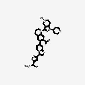 CC(=O)N1CCc2c(c(N3CCCc4cc(-c5ccn6c(-c7cc(C(C(=O)O)C(C)C)on7)cnc6c5)c(C(F)F)cc43)nn2C2CCOCC2)C1